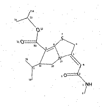 CNC(=O)C=C1CSC2=C(C(=O)OC(C)C)C(C(C)C)CN12